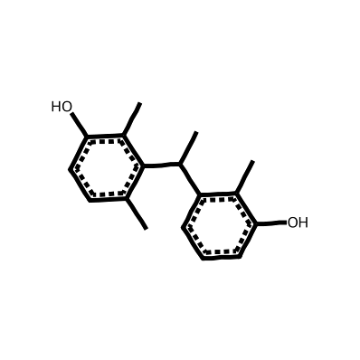 Cc1ccc(O)c(C)c1C(C)c1cccc(O)c1C